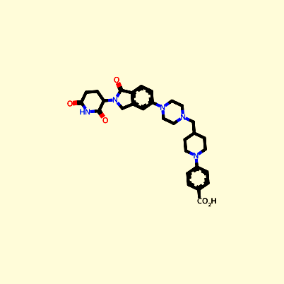 O=C1CCC(N2Cc3cc(N4CCN(CC5CCN(c6ccc(C(=O)O)cc6)CC5)CC4)ccc3C2=O)C(=O)N1